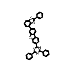 c1ccc(-c2nc(-c3ccccc3)nc(-c3ccc4c(c3)oc3cc(-c5cccc6sc(-c7ccccc7)nc56)ccc34)n2)cc1